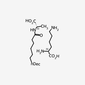 CCCCCCCCCCCCCCCC(=O)N[C@@H](C)C(=O)O.NCCCC[C@H](N)C(=O)O